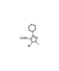 CC(=O)Nc1c(Br)c(C)nn1-c1ccccc1